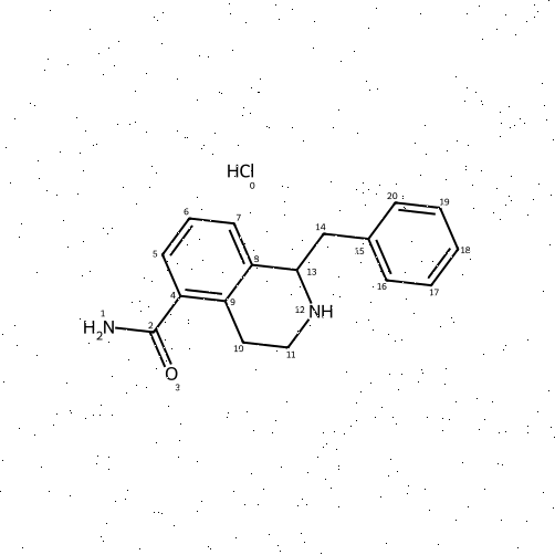 Cl.NC(=O)c1cccc2c1CCNC2Cc1ccccc1